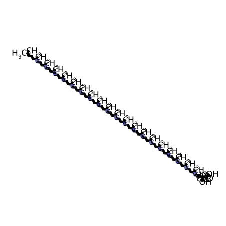 CC(C)=CCC/C(C)=C/CC/C(C)=C/CC/C(C)=C/CC/C(C)=C/CC/C(C)=C/CC/C(C)=C/CC/C(C)=C/CC/C(C)=C/CC/C(C)=C/CC/C(C)=C/CC/C(C)=C/CC/C(C)=C/CC/C(C)=C/CC/C(C)=C/CC/C(C)=C/CC/C(C)=C/CC/C(C)=C/CC/C(C)=C/CC/C(C)=C/COP(=O)(O)OP(=O)(O)O